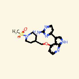 CS(=O)(=O)N1CCC(COc2ccnc3[nH]cc(-c4ccnc(N)n4)c23)CC1